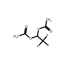 CC(=O)OC(OC(C)=O)C(F)(F)F